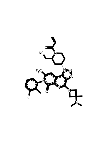 C=CC(=O)N1CC[C@H](n2nnc3c(N4CC(C)(N(C)C)C4)nc4c(=O)n(-c5cccc(Cl)c5C)c(C(F)(F)F)cc4c32)C[C@H]1CC#N